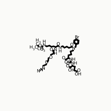 CC(C)(C)OC(=O)NCCCCC(NC(=O)CCOCCOCCN=[N+]=[N-])C(=O)NCCCCC(=O)N(CCCCC(NC(=O)NC(CCC(=O)O)C(=O)O)C(=O)O)Cc1ccc(Br)cc1